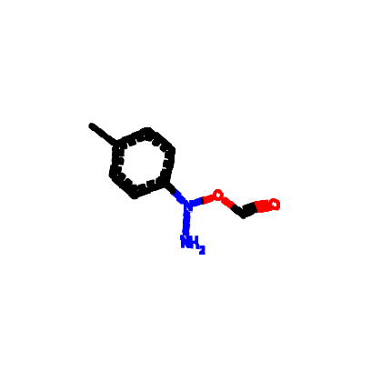 Cc1ccc(N(N)OC=O)cc1